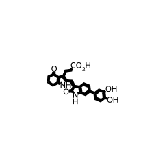 O=C(O)CCc1c(/C=C2\C(=O)Nc3cc(-c4ccc(O)c(O)c4)ccc32)[nH]c2c1C(=O)CCC2